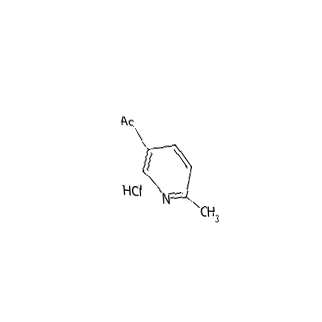 CC(=O)c1ccc(C)nc1.Cl